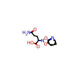 NC(=O)CCC(C(=O)O)N1Oc2cccnc2O1